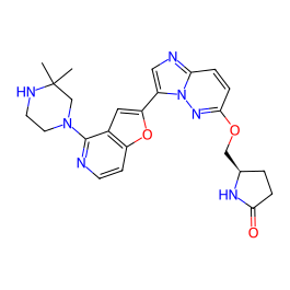 CC1(C)CN(c2nccc3oc(-c4cnc5ccc(OC[C@H]6CCC(=O)N6)nn45)cc23)CCN1